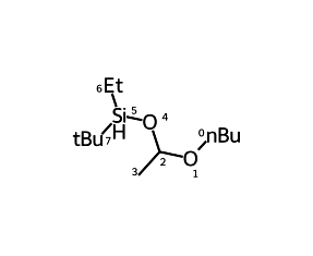 CCCCOC(C)O[SiH](CC)C(C)(C)C